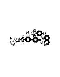 CC(C)CNS(=O)(=O)c1ccc(-c2ccc(C(=O)Nc3cc(S(C)(=O)=O)ccc3Oc3ccc4ccncc4c3)cc2)cc1